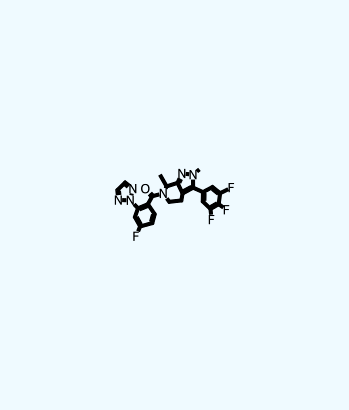 CC1c2nn(C)c(-c3cc(F)c(F)c(F)c3)c2CCN1C(=O)c1ccc(F)cc1-n1nccn1